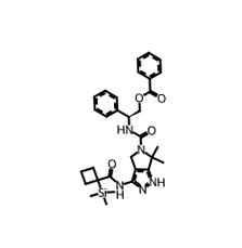 CC1(C)c2[nH]nc(NC(=O)C3([Si](C)(C)C)CCC3)c2CN1C(=O)N[C@H](COC(=O)c1ccccc1)c1ccccc1